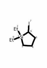 CC[Si]1(CC)CCCC1I